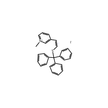 C[n+]1cccc(/C=C\SC(c2ccccc2)(c2ccccc2)c2ccccc2)c1.[I-]